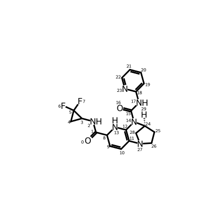 O=C(NC1CC1(F)F)C1C=CC2=C(N1)N(C(=O)Nc1ccccn1)[C@H]1CCN2C1